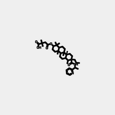 CCCC1(C(=O)NC(C)c2ccccn2)CC[C@]2(C)C(CCC3C4(C)CCC(OC(=O)CC(C)(C)C(=O)O)C(C)(C)C4CCC32C)C1C